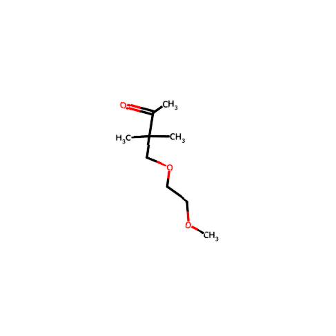 COCCOCC(C)(C)C(C)=O